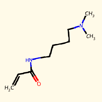 C=CC(=O)NCCCCN(C)C